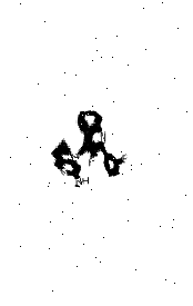 CNc1cc2c(ccn2-c2c(F)c(-c3cccc(F)c3)nc3ccccc23)cn1